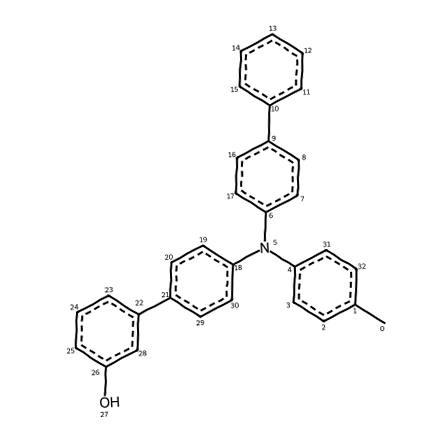 Cc1ccc(N(c2ccc(-c3ccccc3)cc2)c2ccc(-c3cccc(O)c3)cc2)cc1